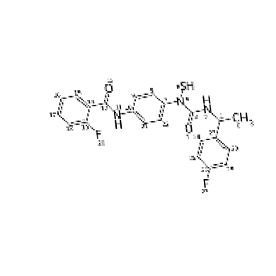 CC(NC(=O)N(S)c1ccc(NC(=O)c2ccccc2F)cc1)c1ccc(F)cc1